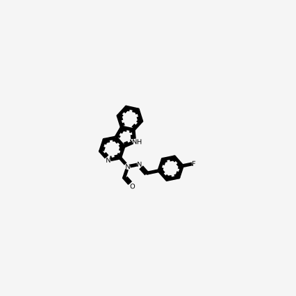 O=CN(N=Cc1ccc(F)cc1)c1nccc2c1[nH]c1ccccc12